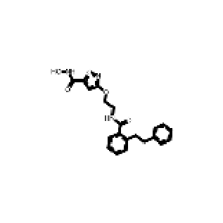 O=C(NO)c1cc(OCCNC(=O)c2ccccc2CCc2ccccc2)no1